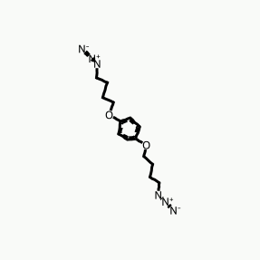 [N-]=[N+]=NCCCCOc1ccc(OCCCCN=[N+]=[N-])cc1